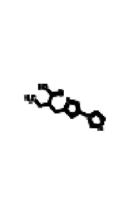 CCC(Cc1cc(-n2ccnc2)cs1)C(=O)O